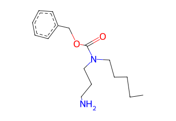 CCCCCN(CCCN)C(=O)OCc1ccccc1